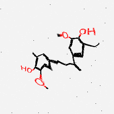 C=C(CCc1cc(C)c(O)c(OC)c1)c1cc(C)c(O)c(OC)c1